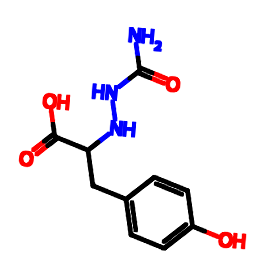 NC(=O)NNC(Cc1ccc(O)cc1)C(=O)O